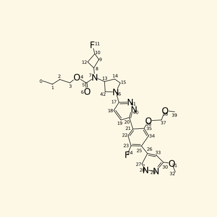 CCCCOC(=O)N(C1CC(F)C1)C1CCN(c2ccc(-c3cc(F)c(-c4cnnc(OC)c4)cc3OCOC)nn2)C1